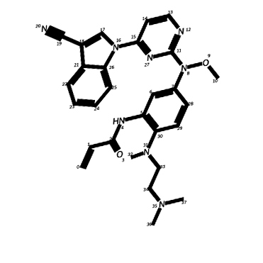 C=CC(=O)Nc1cc(N(OC)c2nccc(-n3cc(C#N)c4ccccc43)n2)ccc1N(C)CCN(C)C